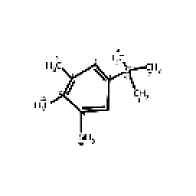 Cc1cc([Si](C)(C)C)cc([SiH3])c1C